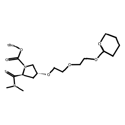 CN(C)C(=S)[C@@H]1C[C@@H](OCCOCCOC2CCCCO2)CN1C(=O)OC(C)(C)C